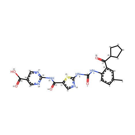 Cc1ccc(NC(=O)Nc2ncc(C(=O)Nc3ncc(C(=O)O)cn3)s2)c(C(=O)C2CCCC2)c1